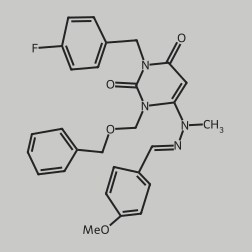 COc1ccc(C=NN(C)c2cc(=O)n(Cc3ccc(F)cc3)c(=O)n2COCc2ccccc2)cc1